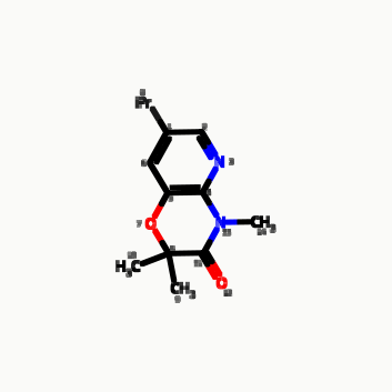 CC(C)c1cnc2c(c1)OC(C)(C)C(=O)N2C